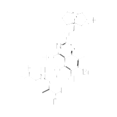 C=C(C(F)F)[C@@H](COc1c(Cl)c(Br)c(F)c2nc(OC[C@@]34CCCN3C[C@H](F)C4)nc(O)c12)NCC(F)F